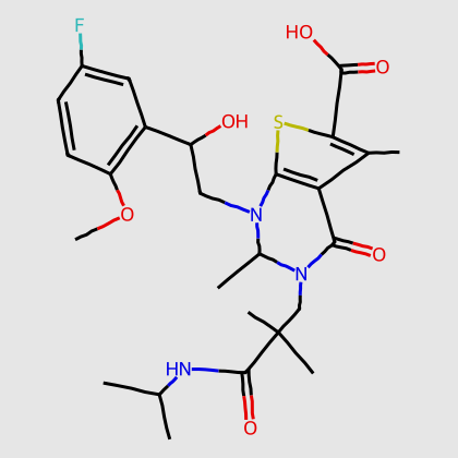 COc1ccc(F)cc1C(O)CN1c2sc(C(=O)O)c(C)c2C(=O)N(CC(C)(C)C(=O)NC(C)C)C1C